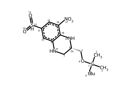 CC(C)(C)[Si](C)(C)OC[C@@H]1CNc2cc([SH](=O)=O)cc([N+](=O)[O-])c2N1